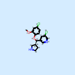 COc1cc(Cl)ccc1OC(c1cncc(Cl)c1)[C@H]1CCNC1